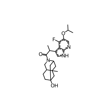 CC(C)Oc1cnc2[nH]cc(C(C)C(=O)N3CC4CCC5(O)CC3CC4(C)C5)c2c1F